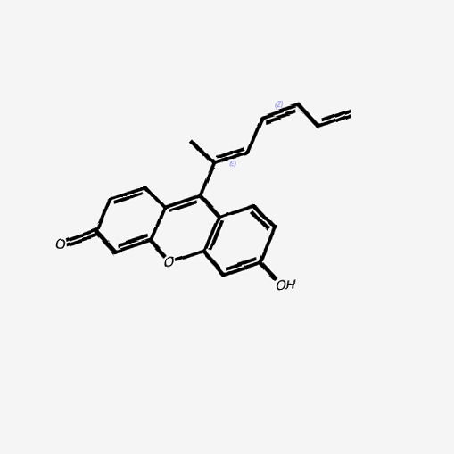 C=C/C=C\C=C(/C)c1c2ccc(=O)cc-2oc2cc(O)ccc12